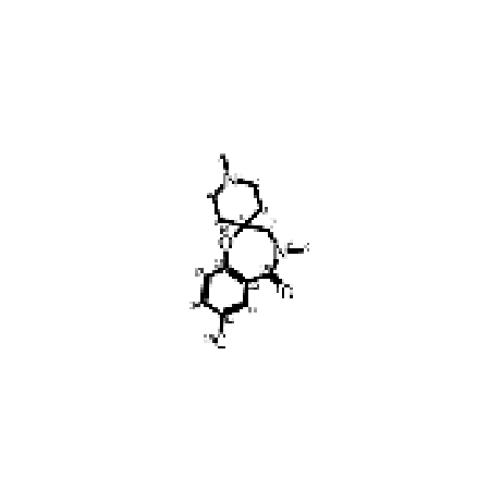 CN1CCC2(CC1)CN(C)C(=O)c1cc(Cl)ccc1O2